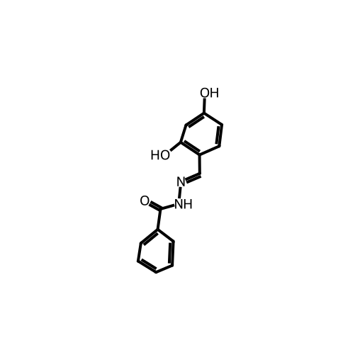 O=C(NN=Cc1ccc(O)cc1O)c1ccccc1